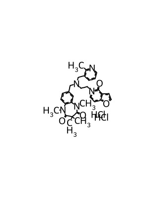 Cc1ncccc1CN(CCn1ccc2occc2c1=O)Cc1ccc2c(c1)N(C)C(=O)C(C)(C)C(=O)N2C.Cl.Cl